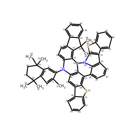 Cc1cc2c(cc1N1c3ccc4c(c3B3c5c1cc1c(sc6ccccc61)c5-c1cccc5c6c7ccccc7sc6n3c15)C(C)(C)c1ccccc1-4)C(C)(C)CCC2(C)C